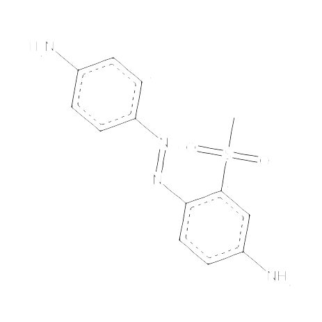 CS(=O)(=O)c1cc(N)ccc1N=Nc1ccc(N)cc1